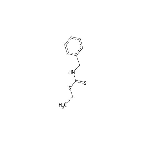 CCSC(=S)NCc1ccccc1